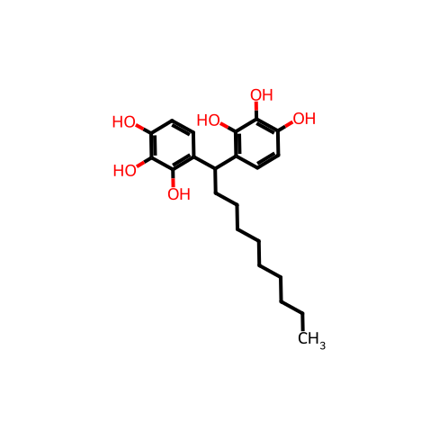 CCCCCCCCCC(c1ccc(O)c(O)c1O)c1ccc(O)c(O)c1O